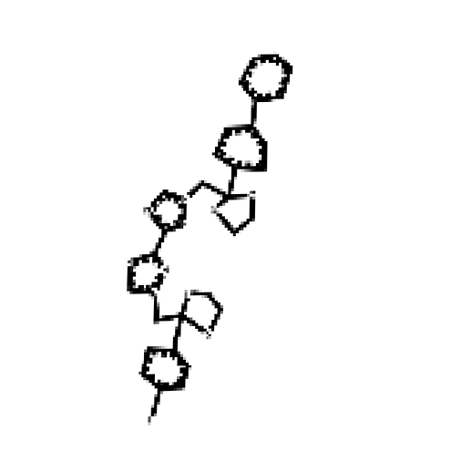 Fc1ccc(C2(Cn3cnc(-c4ncn(CC5(c6ccc(-c7ccccc7)cc6)OCCS5)n4)n3)OCCS2)cc1